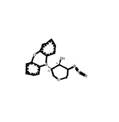 [N-]=[N+]=NC1COC[C@H](N2c3ccccc3Oc3ccccc32)[C@H]1O